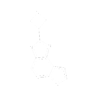 c1cc2c(ncc3nc(C4CNC4)[nH]c32)[nH]1